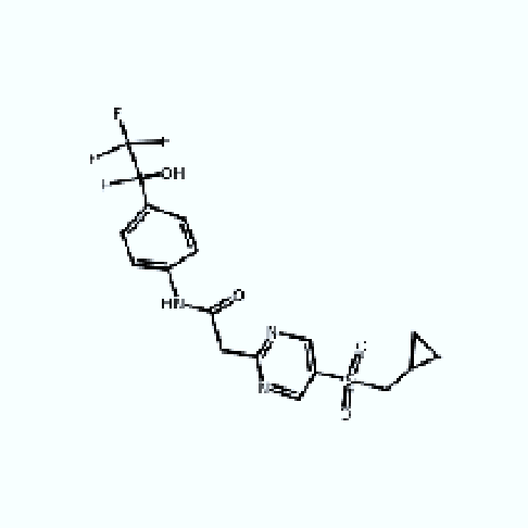 O=C(Cc1ncc(S(=O)(=O)CC2CC2)cn1)Nc1ccc(C(O)(F)C(F)(F)F)cc1